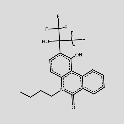 CCCCn1c(=O)c2ccccc2c2c(O)c(C(O)(C(F)(F)F)C(F)(F)F)ccc21